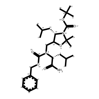 CC(C)C[C@H](C(N)=O)N(CC1OC(C)(C)N(C(=O)OC(C)(C)C)[C@H]1CC(C)C)C(=O)OCc1ccccc1